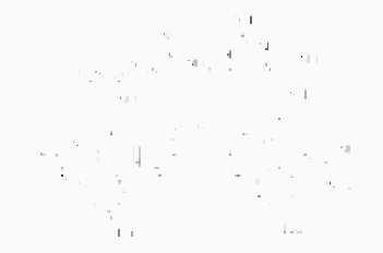 CC(C)(C)c1cc(NC(=N)N)c(SCCNC(=N)N)c(NC(=O)c2cc(C(=O)Nc3cc(C(C)(C)C)cc(NC(=N)N)c3SCCNC(=N)N)c(OCCNC(=N)N)cc2OCCNC(=N)N)c1